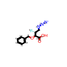 [N-]=[N+]=NC[C@@H](F)C(OCc1ccccc1)C(=O)O